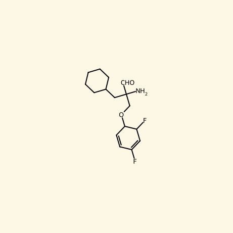 NC(C=O)(COC1C=CC(F)=CC1F)CC1CCCCC1